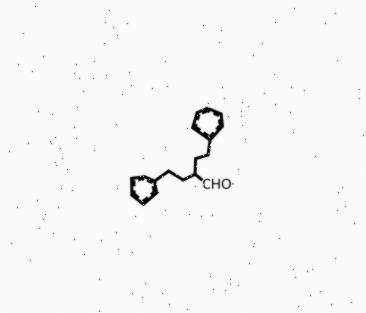 O=[C]C(CCc1ccccc1)CCc1ccccc1